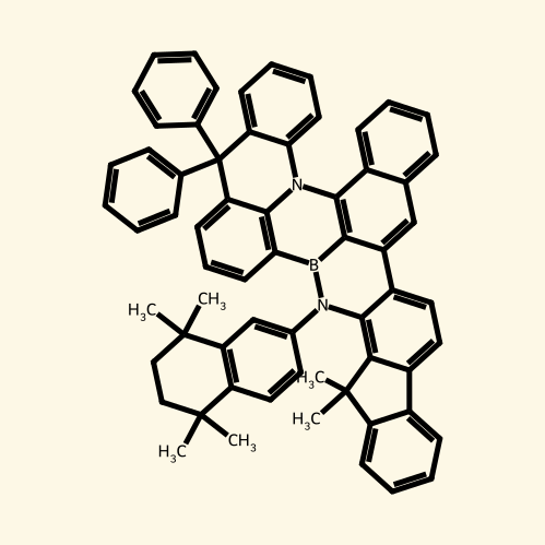 CC1(C)CCC(C)(C)c2cc(N3B4c5cccc6c5N(c5ccccc5C6(c5ccccc5)c5ccccc5)c5c4c(cc4ccccc54)-c4ccc5c(c43)C(C)(C)c3ccccc3-5)ccc21